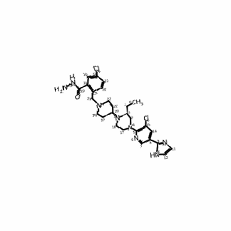 CC[C@H]1CN(c2ncc(-c3ncc[nH]3)cc2Cl)CCN1C1CCN(Cc2ccc(Cl)cc2C(=O)NN)CC1